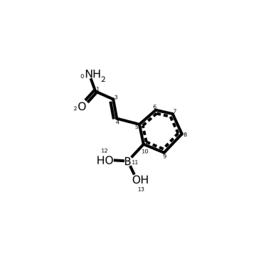 NC(=O)C=Cc1ccccc1B(O)O